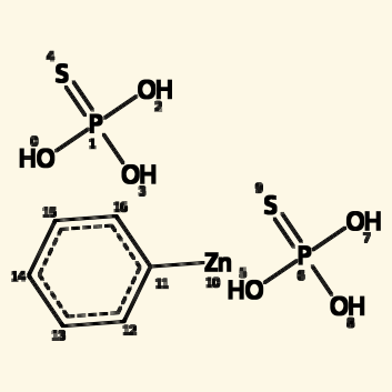 OP(O)(O)=S.OP(O)(O)=S.[Zn][c]1ccccc1